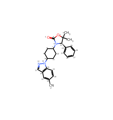 CC1(C)OC(=O)N(C2CCC(n3ncc4cc(C#N)ccc43)CC2)[C@@H]1c1ccccc1